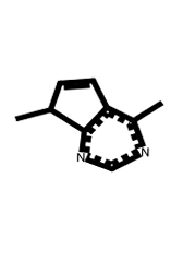 Cc1ncnc2c1C=CC2C